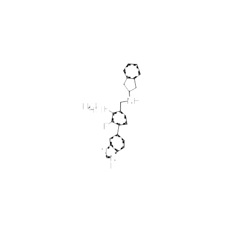 Cl.Cl.Fc1c(CNC2Cc3ccccc3C2)ccc(-c2ccc3[nH]cnc3c2)c1F